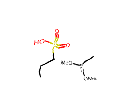 CCCS(=O)(=O)O.CO[SiH](C)OC